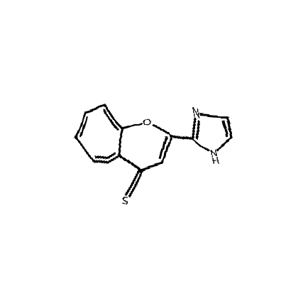 S=c1cc(-c2ncc[nH]2)oc2ccccc12